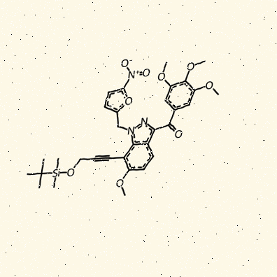 COc1cc(C(=O)c2nn(Cc3ccc([N+](=O)[O-])o3)c3c(C#CCO[Si](C)(C)C(C)(C)C)c(OC)ccc23)cc(OC)c1OC